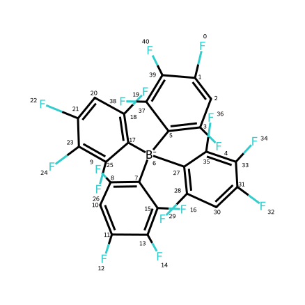 Fc1cc(F)c([B-](c2c(F)cc(F)c(F)c2F)(c2c(F)cc(F)c(F)c2F)c2c(F)cc(F)c(F)c2F)c(F)c1F